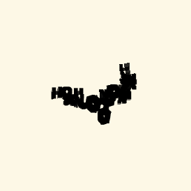 CC(C)(CO)CNCc1ccc(-c2nc3ccn4c(-c5c[nH]nn5)nnc4c3cc2-c2ccccc2)cc1